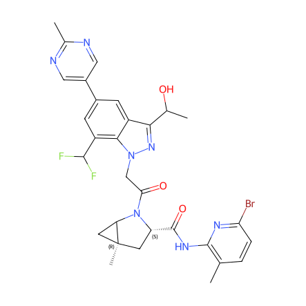 Cc1ncc(-c2cc(C(F)F)c3c(c2)c(C(C)O)nn3CC(=O)N2C3C[C@]3(C)C[C@H]2C(=O)Nc2nc(Br)ccc2C)cn1